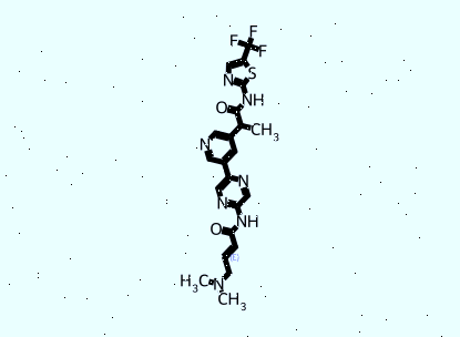 CC(C(=O)Nc1ncc(C(F)(F)F)s1)c1cncc(-c2cnc(NC(=O)/C=C/CN(C)C)cn2)c1